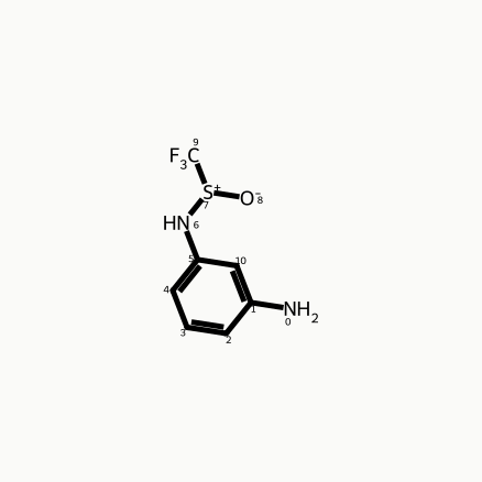 Nc1cccc(N[S+]([O-])C(F)(F)F)c1